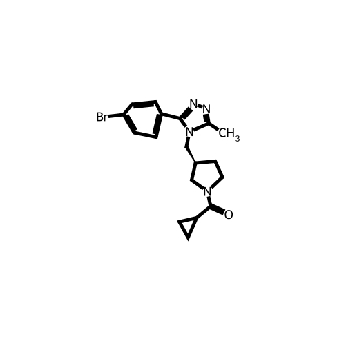 Cc1nnc(-c2ccc(Br)cc2)n1C[C@H]1CCN(C(=O)C2CC2)C1